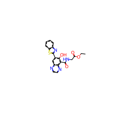 CCOC(=O)CNC(=O)c1c(O)c(-c2nc3ccccc3s2)cc2nccnc12